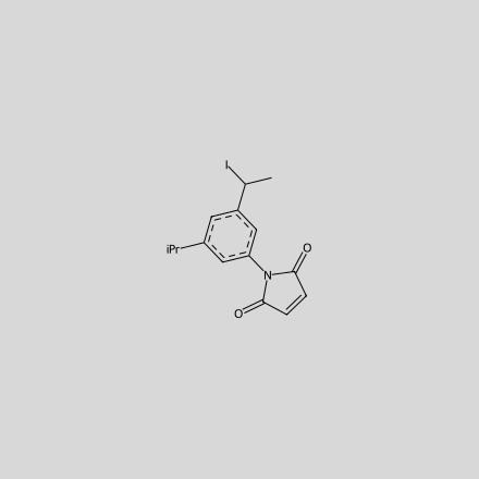 CC(C)c1cc(C(C)I)cc(N2C(=O)C=CC2=O)c1